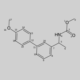 COC(=O)NC(C)c1cccc(-c2ccc(OC)cc2)c1